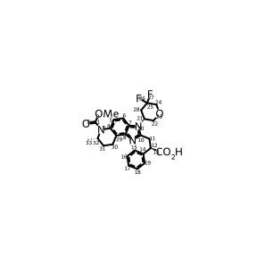 COC(=O)N1c2ccc3c(nc(C[C@@H](C(=O)O)c4ccccc4)n3[C@H]3COCC(F)(F)C3)c2CC[C@@H]1C